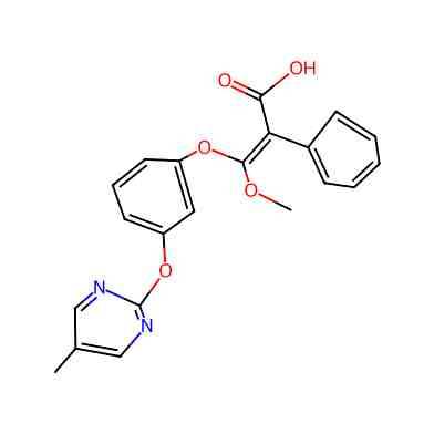 COC(Oc1cccc(Oc2ncc(C)cn2)c1)=C(C(=O)O)c1ccccc1